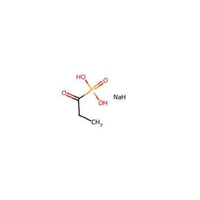 CCC(=O)P(=O)(O)O.[NaH]